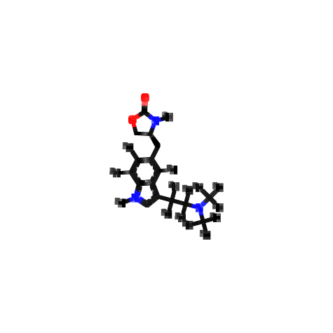 [2H]c1c(C[C@H]2COC(=O)N2[2H])c([2H])c2c(C([2H])([2H])C([2H])([2H])N(C([2H])([2H])[2H])C([2H])([2H])[2H])cn([2H])c2c1[2H]